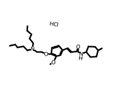 CCCCCN(CCCCC)CCOc1ccc(/C=C/C(=O)NC2CCC(C)CC2)cc1OC.Cl